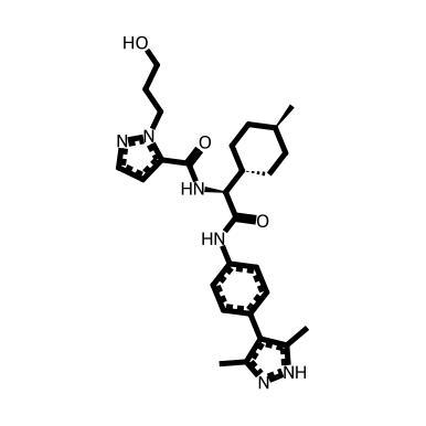 Cc1n[nH]c(C)c1-c1ccc(NC(=O)[C@@H](NC(=O)c2ccnn2CCCO)[C@H]2CC[C@H](C)CC2)cc1